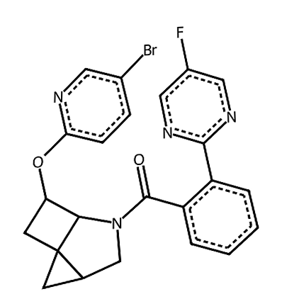 O=C(c1ccccc1-c1ncc(F)cn1)N1CC2CC23CC(Oc2ccc(Br)cn2)C13